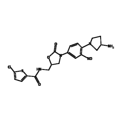 NC1CCN(c2ccc(N3CC(CNC(=O)c4ccc(Cl)s4)OC3=O)cc2N=O)C1